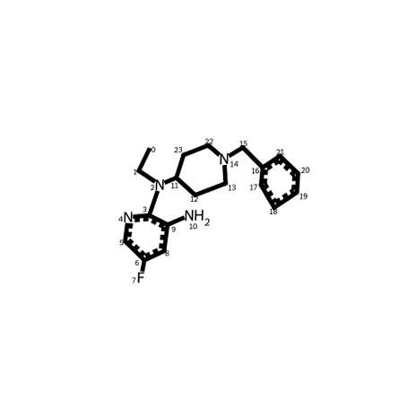 CCN(c1ncc(F)cc1N)C1CCN(Cc2ccccc2)CC1